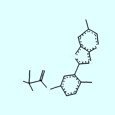 Cc1cnc2nc(-c3cc(NC(=O)C(C)(C)N)ccc3Cl)[nH]c2c1